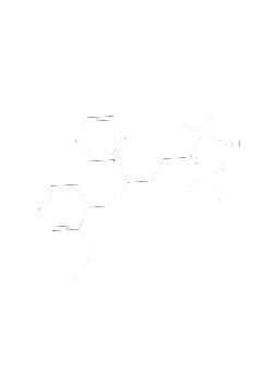 COc1ccccc1OC(CCC(P(=O)(O)O)S(=O)(=O)O)c1ccccc1